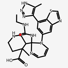 CCNC(=O)NC1(C2CNCCC2(C)C(=O)O)N=CC=CN1c1cc(-c2nn[nH]c2C)c2scnc2c1